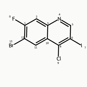 Fc1cc2ncc(I)c(Cl)c2cc1Br